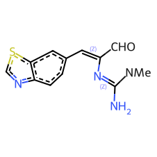 CN/C(N)=N\C(C=O)=C/c1ccc2ncsc2c1